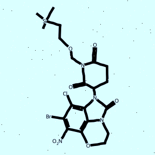 C[Si](C)(C)CCOCN1C(=O)CCC(n2c(=O)n3c4c(c([N+](=O)[O-])c(Br)c(Cl)c42)OCC3)C1=O